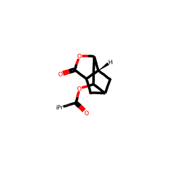 CC(C)C(=O)OC1C2CC3C(=O)OC1[C@@H]3C2